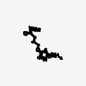 CNC(=O)CCCOc1nnc(N)s1